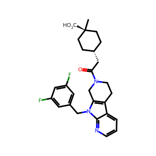 C[C@]1(C(=O)O)CC[C@H](CC(=O)N2CCc3c(n(Cc4cc(F)cc(F)c4)c4ncccc34)C2)CC1